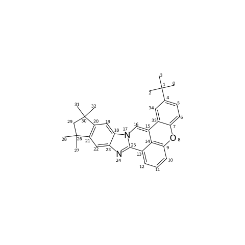 CC(C)(C)c1ccc2oc3cccc4c3c(cn3c5cc6c(cc5nc43)C(C)(C)CC6(C)C)c2c1